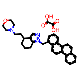 O=C(O)C(=O)O.c1ccc2c(c1)ccc1c3cccc(Cn4ncc5c4CCCC5CCN4CCOCC4)c3ccc21